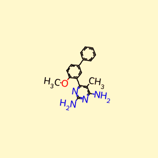 COc1ccc(-c2ccccc2)cc1-c1nc(N)nc(N)c1C